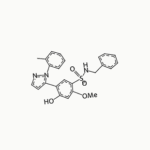 COc1cc(O)c(-c2ccnn2-c2ccccc2C)cc1S(=O)(=O)NCc1ccccc1